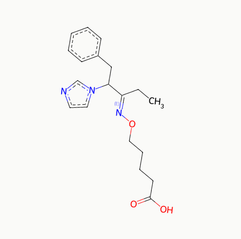 CC/C(=N\OCCCCC(=O)O)C(Cc1ccccc1)n1ccnc1